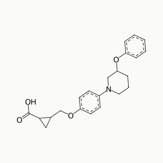 O=C(O)C1CC1COc1ccc(N2CCCC(Oc3ccccc3)C2)cc1